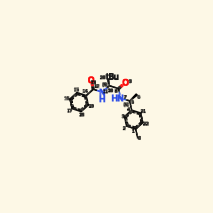 Cc1ccc([C@H](C)NC(=O)[C@@H](NC(=O)c2ccccc2)C(C)(C)C)cc1